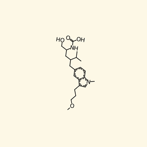 COCCCc1cn(C)c2ccc(CC(CC(CO)NC(=O)O)C(C)C)cc12